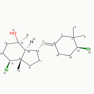 CC1(C)C/C(=C/[C@@H]2CC[C@]3(C)[C@@H](Br)CC[C@@](C)(O)[C@@H]23)CC[C@@H]1Br